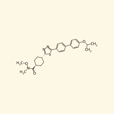 CON(C)C(=O)[C@H]1CC[C@H](c2nnc(-c3ccc(-c4ccc(OC(C)C)cc4)cc3)s2)CC1